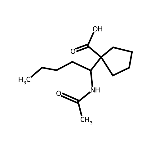 CCCCC(NC(C)=O)C1(C(=O)O)CCCC1